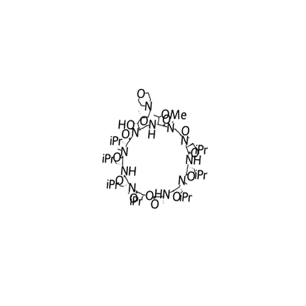 CO[C@H](C)[C@H]1NC(=O)[C@@H]([C@H](O)[C@H](C)CCN2CCOCC2)N(C)C(=O)[C@@H](C(C)C)N(C)C(=O)[C@@H](CC(C)C)NC(=O)[C@@H](CC(C)C)N(C)C(=O)[C@H](C(C)C)OC(=O)[C@@H](C)NC(=O)[C@@H](CC(C)C)N(C)C(=O)[C@@H](CC(C)C)NC(=O)[C@H](CC(C)C)N(C)C(=O)CN(C)C1=O